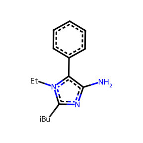 CCC(C)c1nc(N)c(-c2ccccc2)n1CC